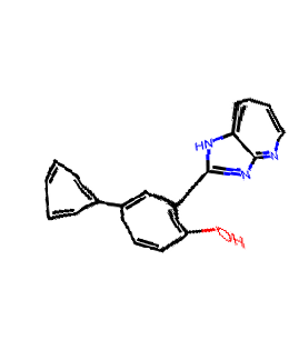 Oc1ccc(-c2ccccc2)cc1-c1nc2ncccc2[nH]1